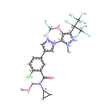 COCN(C(=O)c1cc(-c2cnn(-c3c(OC(F)F)c(C(F)(C(F)(F)F)C(F)(F)F)nn3C)c2)ccc1Cl)C1CC1